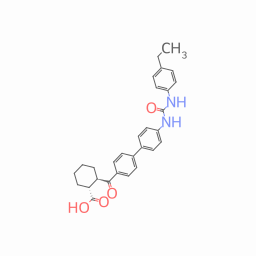 CCc1ccc(NC(=O)Nc2ccc(-c3ccc(C(=O)[C@@H]4CCCC[C@H]4C(=O)O)cc3)cc2)cc1